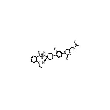 CCOc1ccccc1C(=O)NNC1(C#N)CCN(c2ccc(N3CC(CNC(C)=O)OC3=O)cc2F)CC1